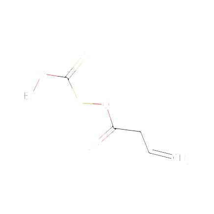 C=CCC(=O)OSC(=S)OCC